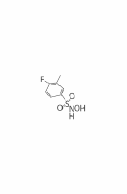 Cc1cc(S(=O)(=O)NO)ccc1F